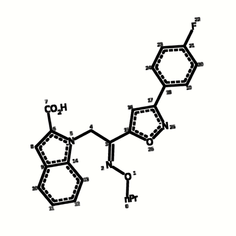 CCCON=C(Cn1c(C(=O)O)cc2ccccc21)c1cc(-c2ccc(F)cc2)no1